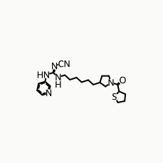 N#CN=C(NCCCCCCC1CCN(C(=O)C2CCCS2)C1)Nc1cccnc1